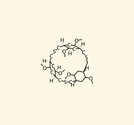 COC1C[C@@H]2CSC[C@H]3CC(OC)[C@@H](CSC[C@H]4CC(OC)[C@@H](CSC[C@H]1CC2OC)C[C@H]4OC)C[C@H]3OC